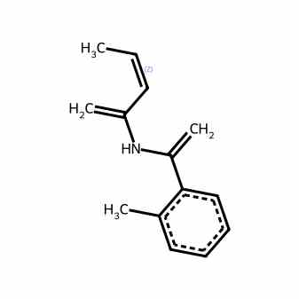 C=C(/C=C\C)NC(=C)c1ccccc1C